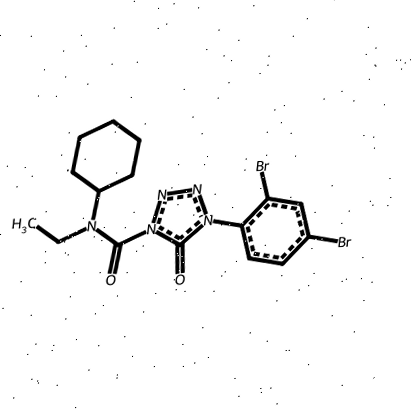 CCN(C(=O)n1nnn(-c2ccc(Br)cc2Br)c1=O)C1CCCCC1